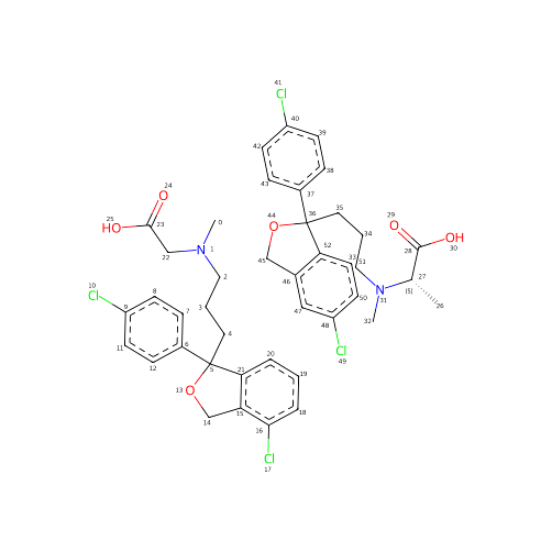 CN(CCCC1(c2ccc(Cl)cc2)OCc2c(Cl)cccc21)CC(=O)O.C[C@@H](C(=O)O)N(C)CCCC1(c2ccc(Cl)cc2)OCc2cc(Cl)ccc21